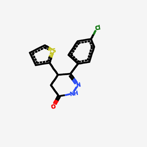 O=C1CC(c2cccs2)C(c2ccc(Cl)cc2)=NN1